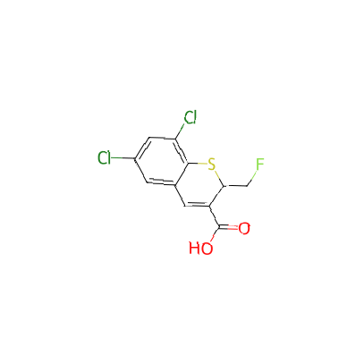 O=C(O)C1=Cc2cc(Cl)cc(Cl)c2SC1CF